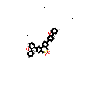 O=S1(=O)Cc2cc(-c3ccc4c(c3)oc3ccccc34)ccc2-c2cc(-c3cccc4oc5ccccc5c34)ccc2C1